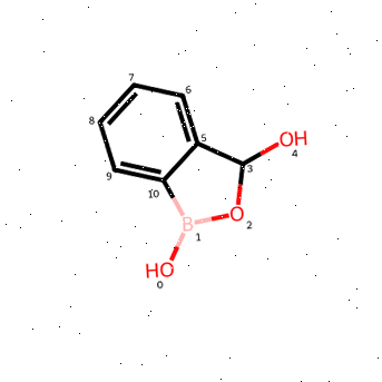 OB1OC(O)c2ccccc21